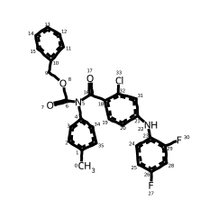 Cc1ccc(N(C(=O)OCc2ccccc2)C(=O)c2ccc(Nc3ccc(F)cc3F)cc2Cl)cc1